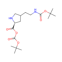 CC(C)(C)OC(=O)NCCC1CN[C@H](C(=O)OC(=O)OC(C)(C)C)C1